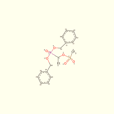 CCC(OS(=O)(=O)C(F)(F)F)P(=O)(OCc1ccccc1)OCc1ccccc1